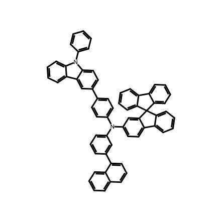 c1ccc(-n2c3ccccc3c3cc(-c4ccc(N(c5cccc(-c6cccc7ccccc67)c5)c5ccc6c(c5)C5(c7ccccc7-c7ccccc75)c5ccccc5-6)cc4)ccc32)cc1